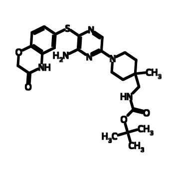 CC1(CNC(=O)OC(C)(C)C)CCN(c2cnc(Sc3ccc4c(c3)NC(=O)CO4)c(N)n2)CC1